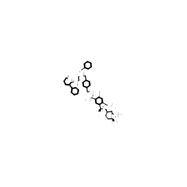 O=C1CCC(N2C(=O)c3ccc(C(=O)NCc4ccc(CN(CCn5c6ccccc6c6cccnc65)Cc5ccccc5)cc4)cc3C2=O)C(=O)N1